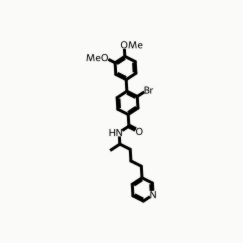 COc1ccc(-c2ccc(C(=O)NC(C)CCCc3cccnc3)cc2Br)cc1OC